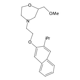 COCC1CN(CCOc2cc3ccccc3cc2C(C)C)CCO1